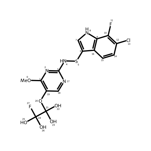 COc1nc(NSc2c[nH]c3c(F)c(Cl)ccc23)ncc1OC(O)(O)C(O)(O)F